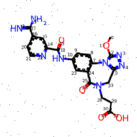 COc1nnc2n1-c1ccc(NC(=O)c3cc(C(=N)N)ccn3)cc1C(=O)N(CCC(=O)O)C2